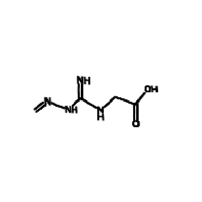 C=NNC(=N)NCC(=O)O